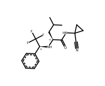 CC(C)C[C@H](N[C@@H](c1ccccc1)C(F)(F)F)C(=O)NC1(C#N)CC1